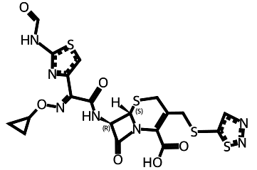 O=CNc1nc(C(=NOC2CC2)C(=O)N[C@@H]2C(=O)N3C(C(=O)O)=C(CSc4cnns4)CS[C@@H]23)cs1